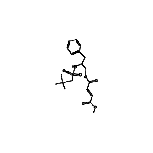 COC(=O)/C=C/C(=O)OCC(Cc1ccccc1)NS(=O)(=O)CC(C)(C)C